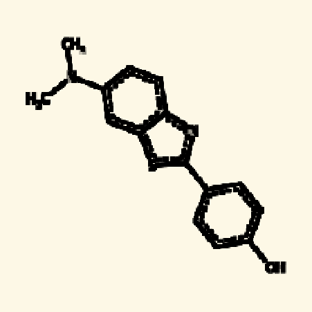 CN(C)c1ccc2nc(-c3ccc(O)cc3)sc2c1